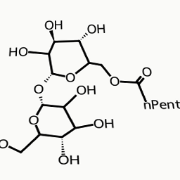 CCCCCC(=O)OCC1O[C@H](O[C@H]2OC(CO)[C@@H](O)C(O)C2O)C(O)[C@@H](O)[C@@H]1O